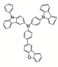 c1ccc(-n2c3ccccc3c3cc(N(c4ccc(-c5ccc6oc7ccccc7c6c5)cc4)c4ccc(-n5c6ccccc6c6ccccc65)cc4)ccc32)cc1